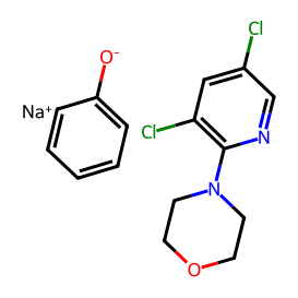 Clc1cnc(N2CCOCC2)c(Cl)c1.[Na+].[O-]c1ccccc1